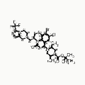 CC1CN(c2nc(=O)n3c4c(c(Br)c(Cl)cc24)SC[C@@H]3CN2CCn3c(nnc3C(F)(F)F)C2)C(C)CN1C(=O)OC(C)(C)C